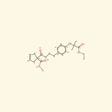 CCOC(=O)C(C)(C)Oc1ccc(CCCC(=O)C2(C(=O)OC)CC=CC2)cc1